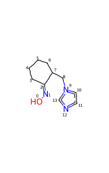 ON=C1CCCCC1Cn1ccnc1